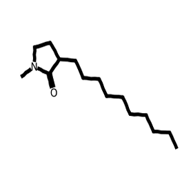 CCCCCCCCCCC1CCN(C)C1=O